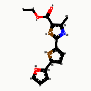 CCOC(=O)c1sc(-c2ccc(-c3ccco3)s2)nc1C